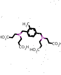 Cc1cc(CP(CCC(=O)O)CCC(=O)O)ccc1CP(CCC(=O)O)CCC(=O)O